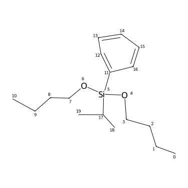 CCCCO[Si](OCCCC)(c1ccccc1)C(C)C